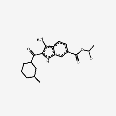 CC1CCCC(C(=O)c2[nH]c3cc(C(=O)OC(C)Cl)ccc3c2N)C1